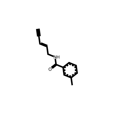 C#C/C=C/CNC(=O)c1cccc(C)c1